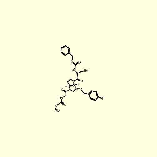 CC(C)(C)OC(=O)NCC(=O)N1C[C@H](OCc2ccc(F)cc2)[C@@H]2[C@H]1CCN2C(=O)[C@@H](NC(=O)OCc1ccccc1)C(C)(C)C